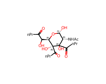 CCCC(=O)C(O)[C@H]1O[C@H](O)[C@H](NC(C)=O)[C@](O)(C(=O)CCC)[C@@]1(O)C(=O)CCC